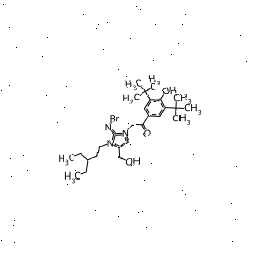 CCC(CC)CCn1c(CO)cn(CC(=O)c2cc(C(C)(C)C)c(O)c(C(C)(C)C)c2)/c1=N\Br